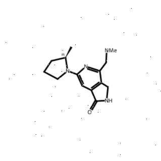 CNCc1nc(N2CCC[C@H]2C)cc2c1CNC2=O